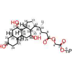 CCCOC(=O)COC(=O)CC[C@@H](C)[C@H]1CC[C@H]2[C@@H]3[C@H](O)C[C@@H]4C[C@H](O)CC[C@]4(C)[C@H]3C[C@H](O)[C@]12C